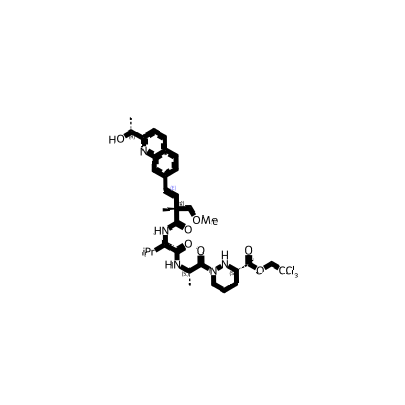 COC[C@@](C)(/C=C/c1ccc2ccc([C@@H](C)O)nc2c1)C(=O)NC(C(=O)N[C@@H](C)C(=O)N1CCC[C@@H](C(=O)OCC(Cl)(Cl)Cl)N1)C(C)C